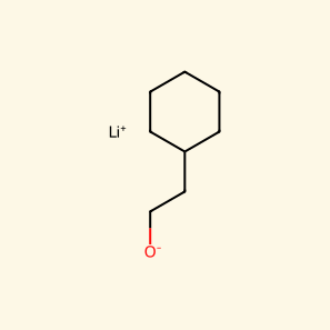 [Li+].[O-]CCC1CCCCC1